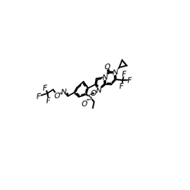 CCS(=O)(=O)c1cc(/C=N/OCC(F)(F)F)ccc1-c1cn2c(=O)n(C3CC3)c(C(F)(F)F)cc2n1